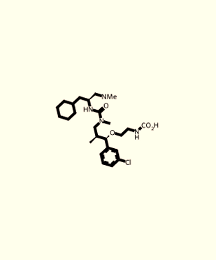 CNC[C@H](CC1CCCCC1)NC(=O)N(C)C[C@H](C)[C@H](OCCNC(=O)O)c1cccc(Cl)c1